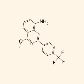 COc1nc(-c2ccc(C(F)(F)F)cc2)cc2c(N)cccc12